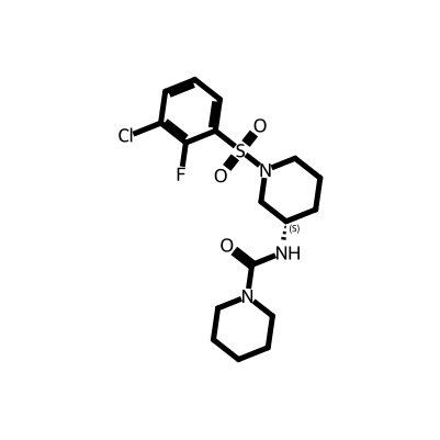 O=C(N[C@H]1CCCN(S(=O)(=O)c2cccc(Cl)c2F)C1)N1CCCCC1